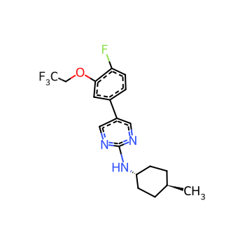 C[C@H]1CC[C@H](Nc2ncc(-c3ccc(F)c(OCC(F)(F)F)c3)cn2)CC1